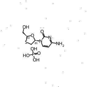 Nc1ccn([C@H]2CS[C@@H](CO)O2)c(=O)n1.O=P(O)(O)O